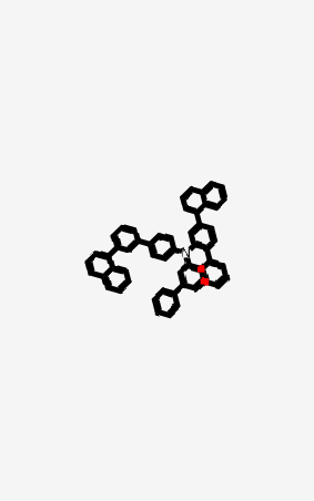 c1ccc(-c2cccc(N(c3ccc(-c4cccc(-c5cccc6ccccc56)c4)cc3)c3cc(-c4cccc5ccccc45)ccc3-c3ccccc3)c2)cc1